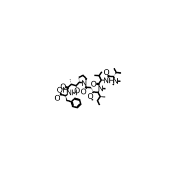 CC[C@H](C)[C@@H]([C@@H](CC(=O)N1CCC[C@H]1[C@H](OC)[C@@H](C)C(=O)N[C@@H](Cc1ccccc1)C(=O)O)OC)N(C)C(=O)[C@H](NC(=O)[C@H](C(C)C)N(C)C)C(C)C